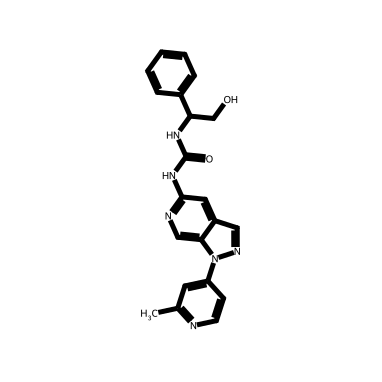 Cc1cc(-n2ncc3cc(NC(=O)NC(CO)c4ccccc4)ncc32)ccn1